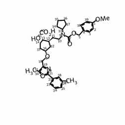 COc1ccc(COC(=O)N(CC[C@@H]2CCC[C@H](OCc3nc(-c4cccc(C)c4)oc3C)C2)C2CCCC2)cc1.O=C(O)O